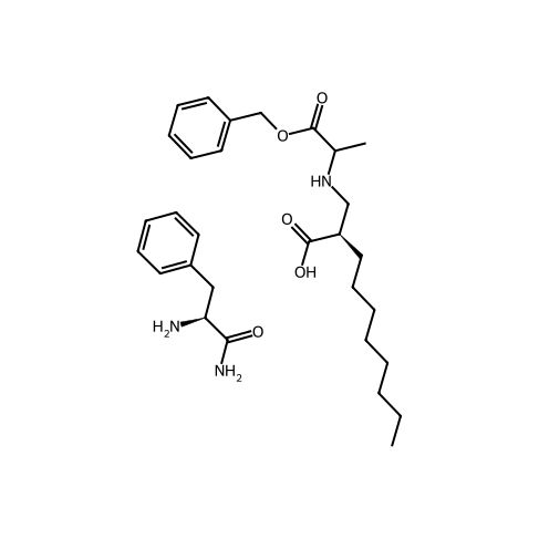 CCCCCCCC[C@H](CNC(C)C(=O)OCc1ccccc1)C(=O)O.NC(=O)[C@@H](N)Cc1ccccc1